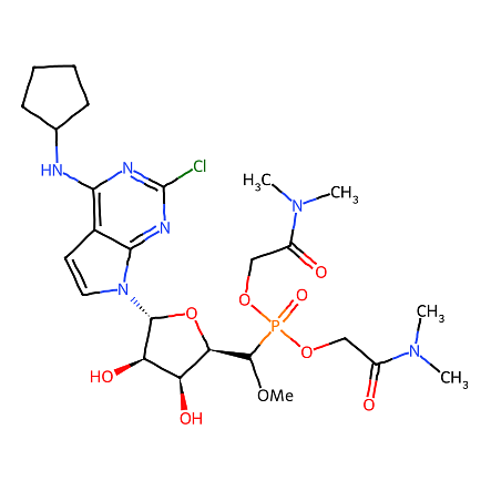 COC([C@@H]1O[C@@H](n2ccc3c(NC4CCCC4)nc(Cl)nc32)[C@H](O)[C@@H]1O)P(=O)(OCC(=O)N(C)C)OCC(=O)N(C)C